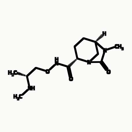 CN[C@H](C)CONC(=O)[C@@H]1CC[C@@H]2CN1C(=O)N2C